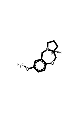 FC(F)(F)Oc1ccc2c(c1)CN1CCC[C@@H]1CO2